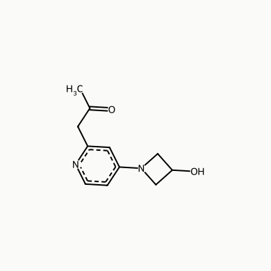 CC(=O)Cc1cc(N2CC(O)C2)ccn1